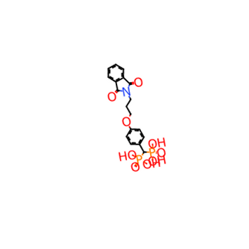 O=C1c2ccccc2C(=O)N1CCCOc1ccc(C(P(=O)(O)O)P(=O)(O)O)cc1